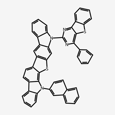 c1ccc(-c2nc(-n3c4ccccc4c4cc5c(cc43)sc3c5ccc4c5ccccc5n(-c5ccc6ccccc6c5)c43)nc3c2sc2ccccc23)cc1